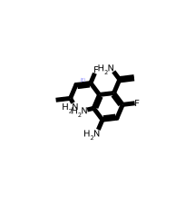 C=C(N)c1c(F)cc(N)c(N)c1/C(F)=C\C(C)N